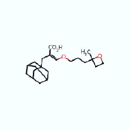 CC1(CCCOC=C(CC23CC4CC(CC(C4)C2)C3)C(=O)O)CCO1